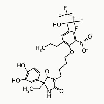 CCCc1cc(C(O)(C(F)(F)F)C(F)(F)F)cc([N+](=O)[O-])c1OCCCCN1C(=O)NC(CC)(c2ccc(O)c(O)c2)C1=O